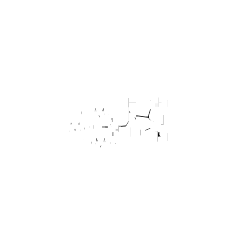 CCCC(NC[Si](OC)(OC)OC)[Si](CC)(CC)CC